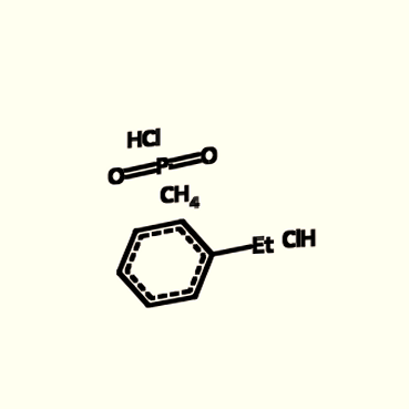 C.CCc1ccccc1.Cl.Cl.O=[P]=O